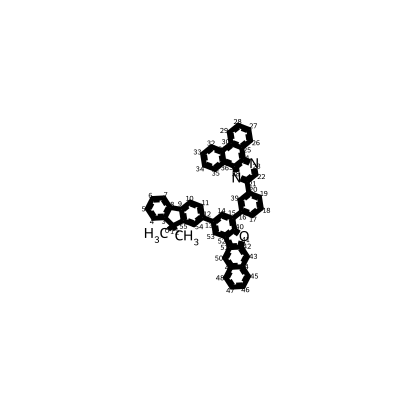 CC1(C)c2ccccc2-c2ccc(-c3cc(-c4cccc(-c5cnc6c7ccccc7c7ccccc7c6n5)c4)c4oc5cc6ccccc6cc5c4c3)cc21